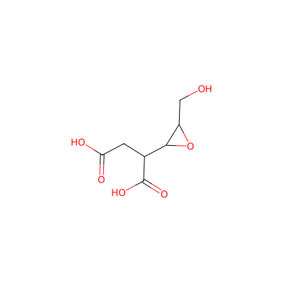 O=C(O)CC(C(=O)O)C1OC1CO